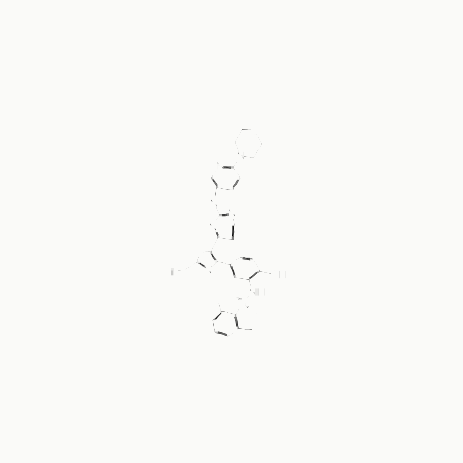 Cc1ccc(-c2nc(C(C)C)sc2-c2ccnc(Nc3ccc(N4CCOCC4)nc3)n2)cc1NS(=O)(=O)c1c(F)cccc1F